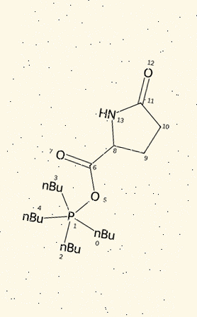 CCCCP(CCCC)(CCCC)(CCCC)OC(=O)C1CCC(=O)N1